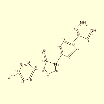 N=C/C(=C\N)c1ccc(N2CCC(c3ccc(F)cc3)C2=O)cc1